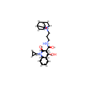 O=C(NCCCN1C2CC3CC(C2)CC1C3)c1c(O)c2ccccc2n(C2CC2)c1=O